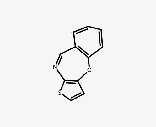 [C]1=Nc2sccc2Oc2ccc[c]c21